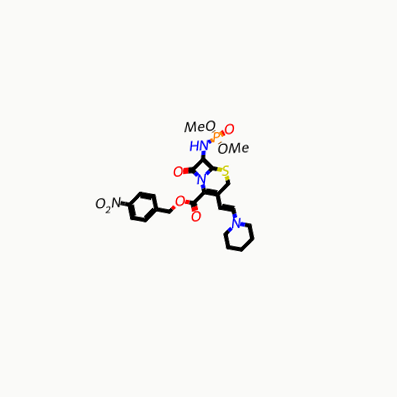 COP(=O)(NC1C(=O)N2C(C(=O)OCc3ccc([N+](=O)[O-])cc3)=C(/C=C/N3CCCCC3)CSC12)OC